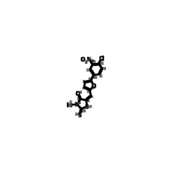 CCN1C(=O)/C(=C\c2ccc(-c3ccc(Cl)c([N+](=O)[O-])c3)o2)SC1=S